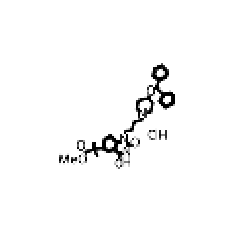 COC(=O)C(C)(C)c1ccc2c(c1)c(=O)[nH]c(=O)n2CCCCN1CCC(OC(c2ccccc2)c2ccccc2)CC1.Cl